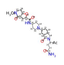 CC(=O)C(CCC(N)=O)N1Cc2ccc(N3CCC(NC(=O)c4cc5c(=O)n(C)ccc5o4)CC3)cc2C1=O